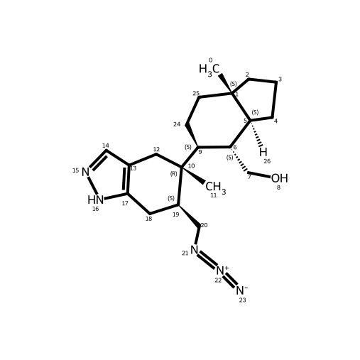 C[C@@]12CCC[C@H]1[C@H](CO)[C@@H]([C@@]1(C)Cc3cn[nH]c3C[C@@H]1CN=[N+]=[N-])CC2